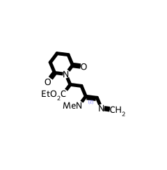 C=N/C=C(/CC(C(=O)OCC)N1C(=O)CCCC1=O)NC